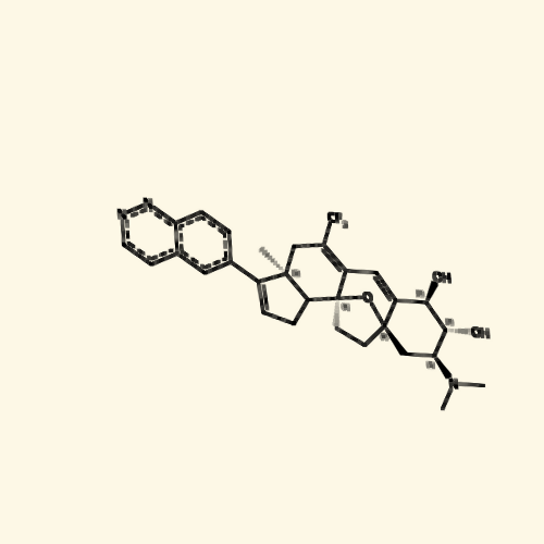 CN(C)[C@H]1C[C@@]23CC[C@@]4(O2)C(=C(C(F)(F)F)C[C@]2(C)C(c5ccc6nnccc6c5)=CCC24)C=C3[C@@H](O)[C@@H]1O